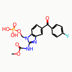 COC(=O)Nc1nc2cc(C(=O)c3ccc(F)cc3)ccc2n1COP(=O)(O)O